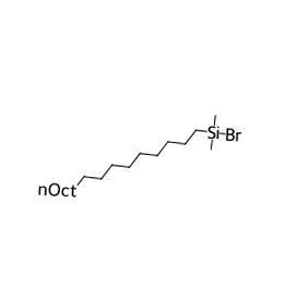 CCCCCCCCCCCCCCCCC[Si](C)(C)Br